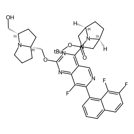 CC(C)(C)OC(=O)N1[C@@H]2CC[C@H]1CN(c1nc(OC[C@]34CCCN3[C@H](CO)CC4)nc3c(F)c(-c4cccc5ccc(F)c(F)c45)ncc13)C2